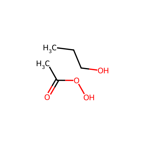 CC(=O)OO.CCCO